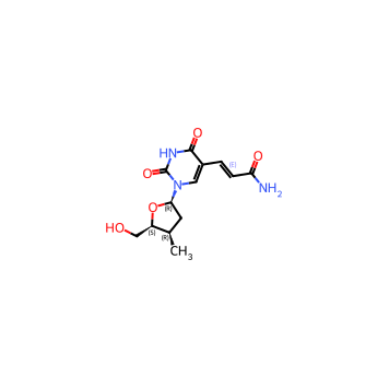 C[C@@H]1C[C@H](n2cc(/C=C/C(N)=O)c(=O)[nH]c2=O)O[C@@H]1CO